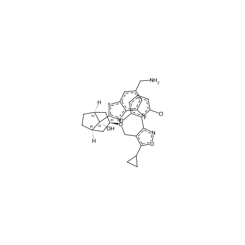 NCc1cc(F)c2nc([C@@]3(O)[C@@H]4CC[C@H]3C[C@@H](OCc3c(-c5c(Cl)cccc5Cl)noc3C3CC3)C4)sc2c1